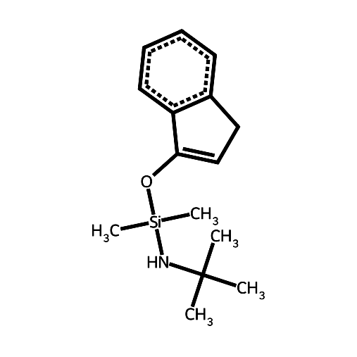 CC(C)(C)N[Si](C)(C)OC1=CCc2ccccc21